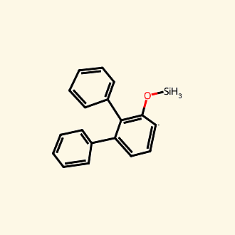 [SiH3]Oc1[c]ccc(-c2ccccc2)c1-c1ccccc1